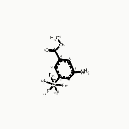 COC(=O)c1cc(N)cc(S(F)(F)(F)(F)F)c1